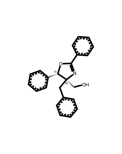 OC[C@@]1(Cc2ccccc2)N=C(c2ccccc2)O[C@H]1c1ccccc1